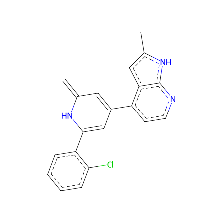 C=C1C=C(c2ccnc3[nH]c(C)cc23)C=C(c2ccccc2Cl)N1